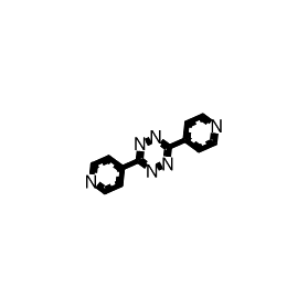 c1cc(-c2nnc(-c3ccncc3)nn2)ccn1